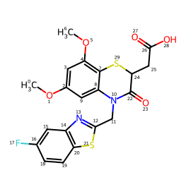 COc1cc(OC)c2c(c1)N(Cc1nc3cc(F)ccc3s1)C(=O)C(CC(=O)O)S2